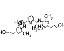 CC(=Nc1c(C)cc(CCCO)cc1C)c1cccc(C(C)=Nc2c(C)cc(CCCO)cc2C)n1